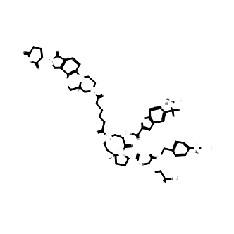 CS(=O)(=O)c1ccc(CNC(=O)[C@H](CCC(N)=O)NC(=O)[C@@H]2CC[C@@H]3CCN(C(=O)CCCCC(=O)N4CCN5c6ccc7c(c6OC[C@H]5C4)CN([C@H]4CCC(=O)NC4=O)C7=O)C[C@H](NC(=O)c4cc5cc(C(F)(F)P(=O)(O)O)ccc5s4)C(=O)N32)cc1